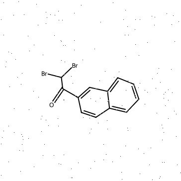 O=C(c1ccc2ccccc2c1)C(Br)Br